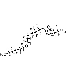 O=S(=O)(OCC(F)(F)C(F)(F)C(F)(F)OC(F)(F)C(F)(F)OC(F)(F)C(F)(F)C(F)(F)C(F)(F)C(F)(F)C(F)(F)F)C(F)(F)C(F)(F)C(F)(F)C(F)(F)F